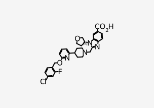 O=C(O)c1ccc2nc(CN3CCC(c4cccc(OCc5ccc(Cl)cc5F)n4)CC3)n([C@H]3CCOC3)c2c1